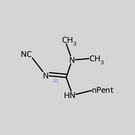 CCCCCN/C(=N/C#N)N(C)C